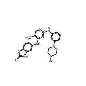 CC(=O)N1CCN(c2cccc(Nc3ncc(C)c(Nc4ccc5oc(=O)[nH]c5c4)n3)c2)CC1